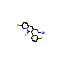 NCCc1cc2ccc(F)cn2c(=O)c1-c1cccc(F)c1